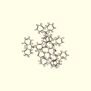 Cc1ccccc1-c1c(-n2c3ccccc3c3ccccc32)c(-n2c3ccccc3c3ccccc32)nc(-n2c3ccccc3c3ccccc32)c1-n1c2ccc(-n3c4ccccc4c4ccccc43)cc2c2cc(-n3c4ccccc4c4ccccc43)ccc21